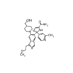 COCCn1ncc2cc(C3(c4ccnc(C)c4)NC(C(N)=O)=CO3)c(N3CCC(CO)CC3)cc21